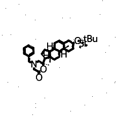 CC(C)(C)[Si](C)(C)OC1CC[C@@]2(C)C(=CC[C@H]3[C@@H]4CC[C@H]([C@]5(C)CN(Cc6ccccc6)CC(=O)O5)[C@@]4(C)CC[C@@H]32)C1